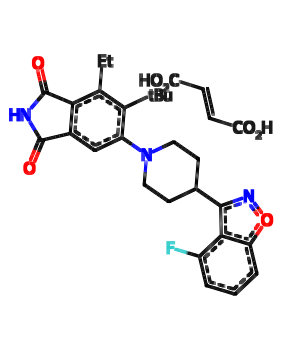 CCc1c2c(cc(N3CCC(c4noc5cccc(F)c45)CC3)c1C(C)(C)C)C(=O)NC2=O.O=C(O)C=CC(=O)O